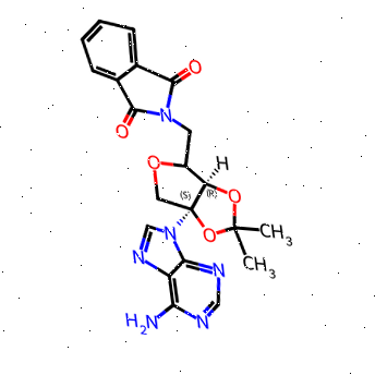 CC1(C)O[C@@H]2C(CN3C(=O)c4ccccc4C3=O)OC[C@]2(n2cnc3c(N)ncnc32)O1